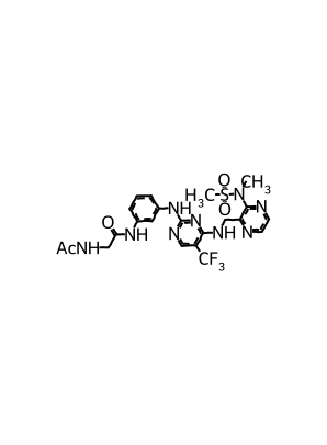 CC(=O)NCC(=O)Nc1cccc(Nc2ncc(C(F)(F)F)c(NCc3nccnc3N(C)S(C)(=O)=O)n2)c1